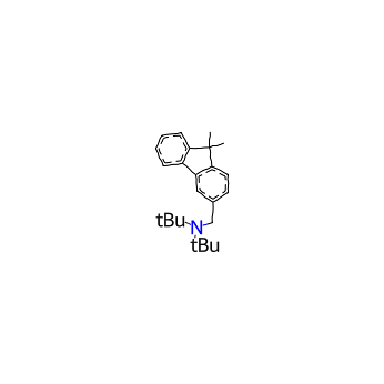 CC1(C)c2ccccc2-c2cc(CN(C(C)(C)C)C(C)(C)C)ccc21